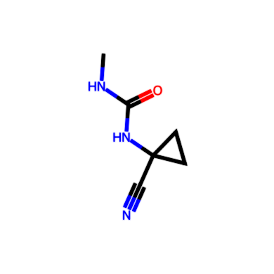 CNC(=O)NC1(C#N)CC1